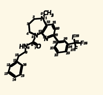 CN1CCCN(C(=O)NCCc2ccccc2)c2nc(-c3cccc(C(F)(F)F)c3)ccc21